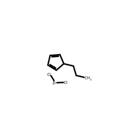 CCC[C]1C=CC=C1.[Cl][Zr][Cl]